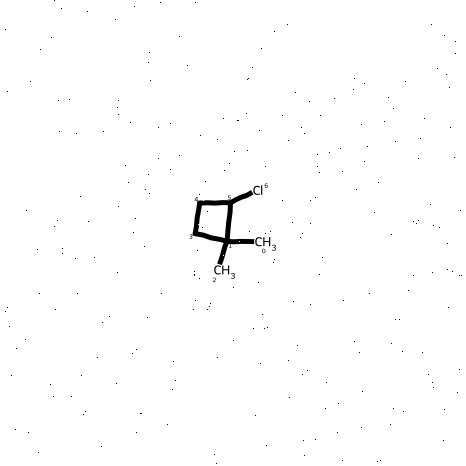 CC1(C)CCC1Cl